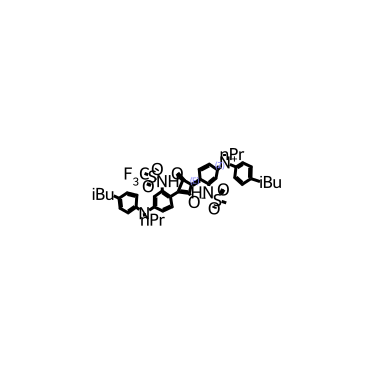 CCCN(c1ccc(C(C)CC)cc1)c1ccc(C2=C([O-])/C(=C3C=C/C(=[N+](\CCC)c4ccc(C(C)CC)cc4)C=C/3NS(C)(=O)=O)C2=O)c(NS(=O)(=O)C(F)(F)F)c1